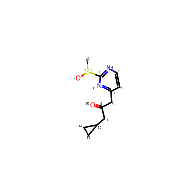 C[S+]([O-])c1nccc(CC(=O)CC2CC2)n1